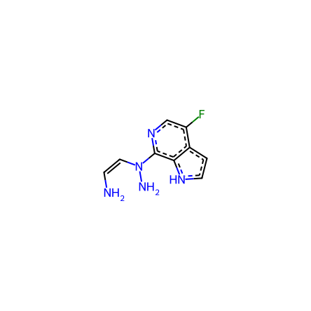 N/C=C\N(N)c1ncc(F)c2cc[nH]c12